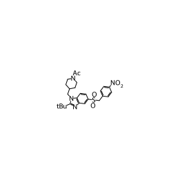 CC(=O)N1CCC(Cn2c(C(C)(C)C)nc3cc(S(=O)(=O)Cc4ccc([N+](=O)[O-])cc4)ccc32)CC1